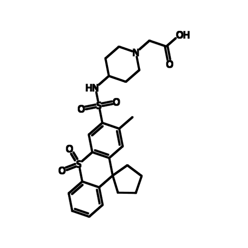 Cc1cc2c(cc1S(=O)(=O)NC1CCN(CC(=O)O)CC1)S(=O)(=O)c1ccccc1C21CCCC1